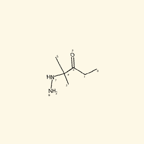 CCC(=O)C(C)(C)NN